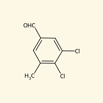 Cc1cc(C=O)cc(Cl)c1Cl